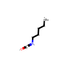 [CH2]CCCCCCCN=C=O